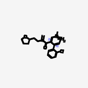 C/C=C(\C(=C/N(C)N)C(=O)NCCC1CCCO1)c1ccccc1Cl